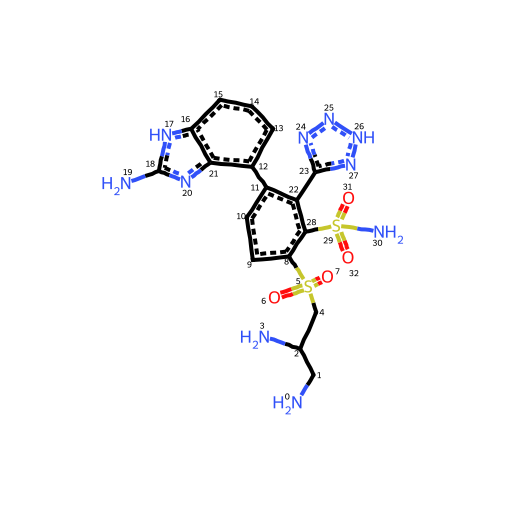 NCC(N)CS(=O)(=O)c1ccc(-c2cccc3[nH]c(N)nc23)c(-c2nn[nH]n2)c1S(N)(=O)=O